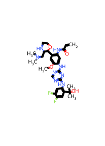 C=CC(=O)Nc1cc(Nc2ncnc(Nc3cc(F)c(F)cc3C(C)(C)O)n2)c(OC)cc1C1OCCNC1CN(C)C